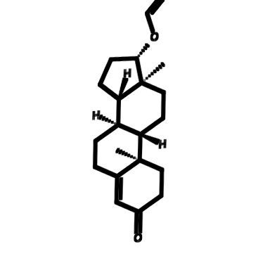 C[C@]12CC[C@H]3[C@@H](CCC4=CC(=O)CC[C@@]43C)[C@@H]1CC[C@@H]2OC=O